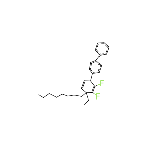 CCCCCCCCC1(CC)C=CC(c2ccc(-c3ccccc3)cc2)C(F)=C1F